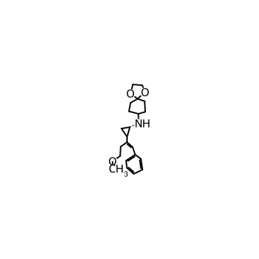 COCCC(=Cc1ccccc1)C1C[C@@H]1NC1CCC2(CC1)OCCO2